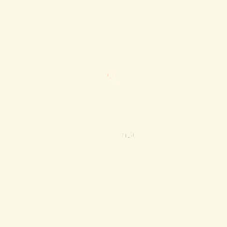 [CH2]CCCC(C(=O)C1CCC1)c1ccccc1